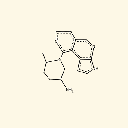 CC1CCC(N)CN1c1nccc2cnc3[nH]ccc3c12